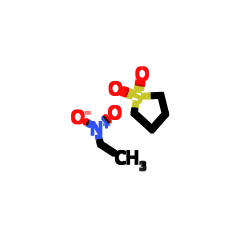 CC[N+](=O)[O-].O=S1(=O)CCCC1